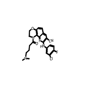 CN(C)CCCC(=O)N1CCOc2ccc3cc(C#N)c(Nc4ccc(F)c(Cl)c4)nc3c21